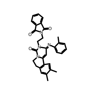 Cc1cc2c(cc1C)-c1c/c(=N\c3ccccc3C)n(CCN3C(=O)c4ccccc4C3=O)c(=O)n1CC2